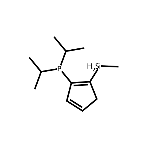 C[SiH2]C1=C(P(C(C)C)C(C)C)C=CC1